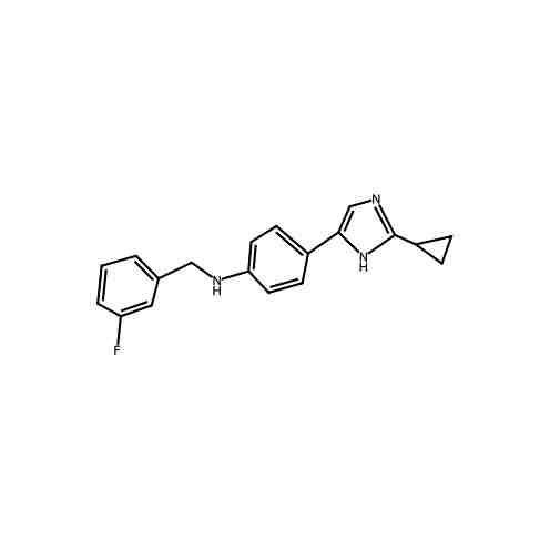 Fc1cccc(CNc2ccc(-c3cnc(C4CC4)[nH]3)cc2)c1